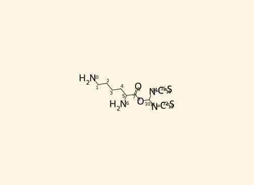 NCCCCC(N)C(=O)OC(N=C=S)N=C=S